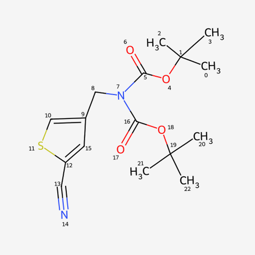 CC(C)(C)OC(=O)N(Cc1csc(C#N)c1)C(=O)OC(C)(C)C